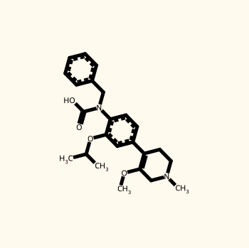 COC1=C(c2ccc(N(Cc3ccccc3)C(=O)O)c(OC(C)C)c2)CCN(C)C1